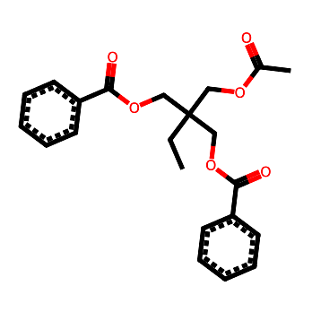 CCC(COC(C)=O)(COC(=O)c1ccccc1)COC(=O)c1ccccc1